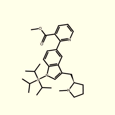 COC(=O)c1cccnc1-c1ccc2c(c1)c(C[C@H]1CCCN1C)cn2[Si](C(C)C)(C(C)C)C(C)C